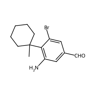 CC1(c2c(N)cc(C=O)cc2Br)CCCCC1